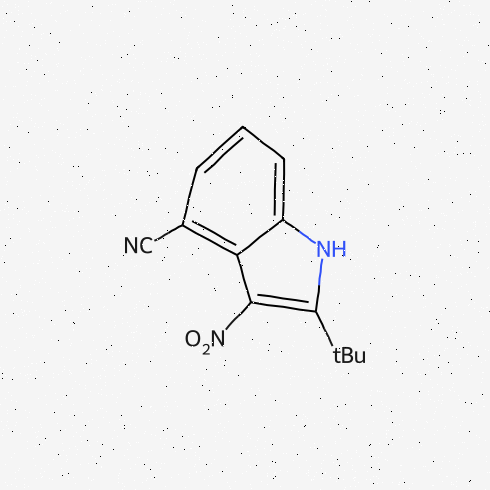 CC(C)(C)c1[nH]c2cccc(C#N)c2c1[N+](=O)[O-]